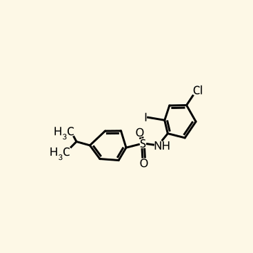 CC(C)c1ccc(S(=O)(=O)Nc2ccc(Cl)cc2I)cc1